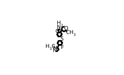 C[C@H]1C[C@@](C(N)=O)(c2cccc(Sc3ccc(-c4ccnn4C)c(F)c3)c2)CCO1